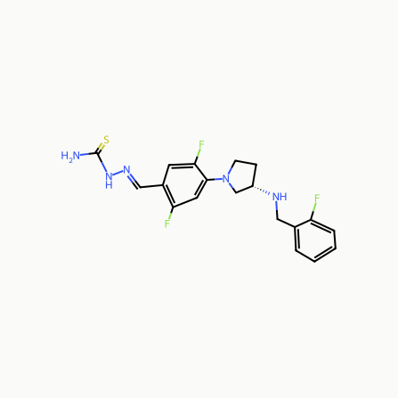 NC(=S)NN=Cc1cc(F)c(N2CC[C@H](NCc3ccccc3F)C2)cc1F